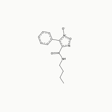 CCCCNC(=O)c1no[n+]([O-])c1-c1ccccc1